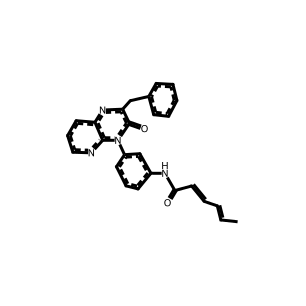 CC=CC=CC(=O)Nc1cccc(-n2c(=O)c(Cc3ccccc3)nc3cccnc32)c1